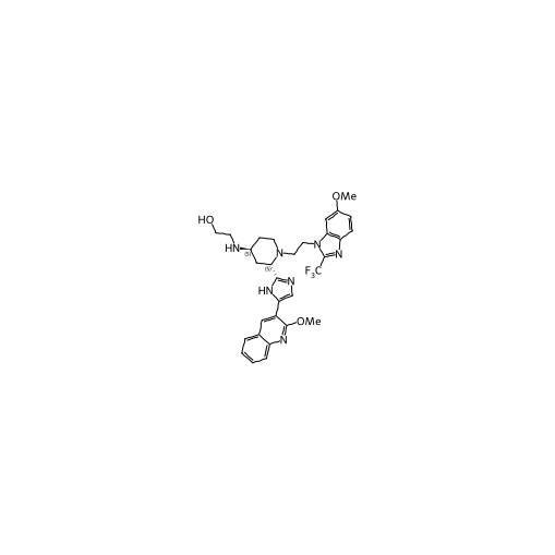 COc1ccc2nc(C(F)(F)F)n(CCN3CC[C@H](NCCO)C[C@H]3c3ncc(-c4cc5ccccc5nc4OC)[nH]3)c2c1